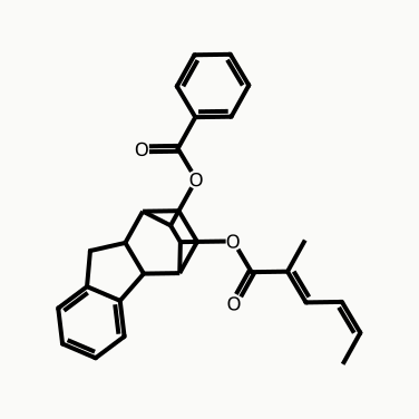 C/C=C\C=C(/C)C(=O)OC1C2CCC(C3Cc4ccccc4C32)C1OC(=O)c1ccccc1